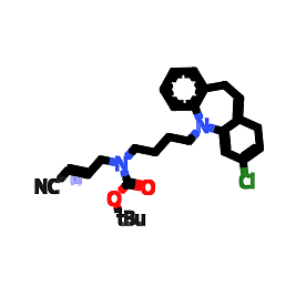 CC(C)(C)OC(=O)N(C/C=C/C#N)CCCCN1C2=CC(Cl)=CCC2=CCc2ccccc21